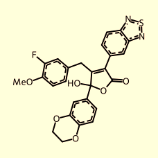 COc1ccc(CC2=C(c3ccc4nsnc4c3)C(=O)OC2(O)c2ccc3c(c2)OCCO3)cc1F